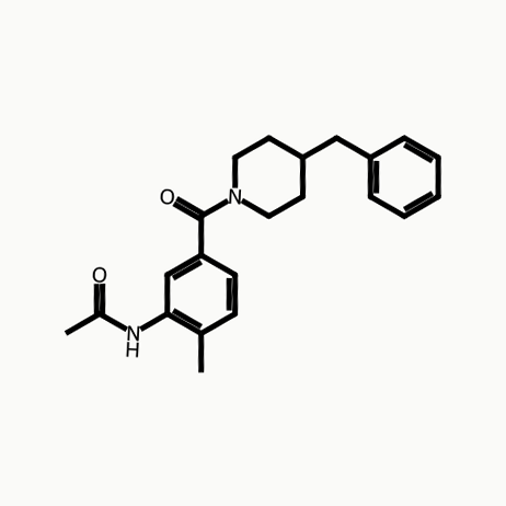 CC(=O)Nc1cc(C(=O)N2CCC(Cc3ccccc3)CC2)ccc1C